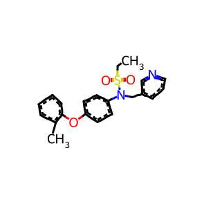 CCS(=O)(=O)N(Cc1cccnc1)c1ccc(Oc2ccccc2C)cc1